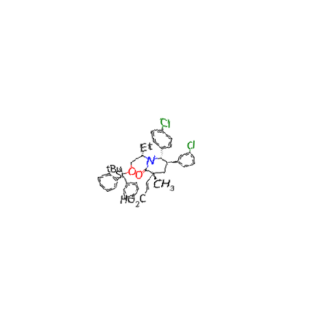 CC[C@@H](CO[Si](c1ccccc1)(c1ccccc1)C(C)(C)C)N1C(=O)[C@@](C)(/C=C/C(=O)O)C[C@H](c2cccc(Cl)c2)[C@H]1c1ccc(Cl)cc1